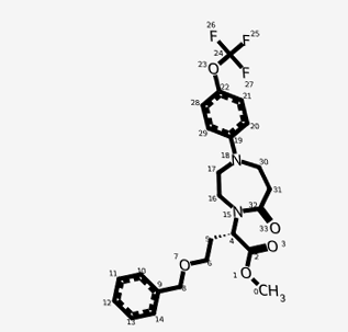 COC(=O)[C@H](CCOCc1ccccc1)N1CCN(c2ccc(OC(F)(F)F)cc2)CCC1=O